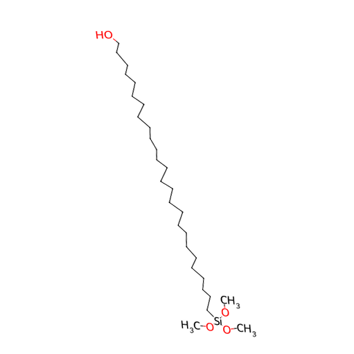 CO[Si](CCCCCCCCCCCCCCCCCCCCCCCCCCO)(OC)OC